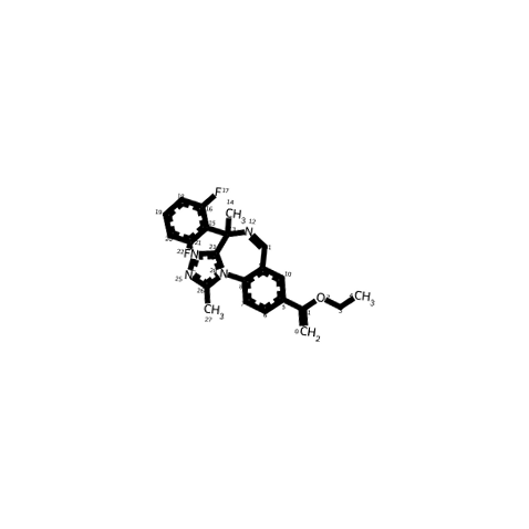 C=C(OCC)c1ccc2c(c1)C=NC(C)(c1c(F)cccc1F)c1nnc(C)n1-2